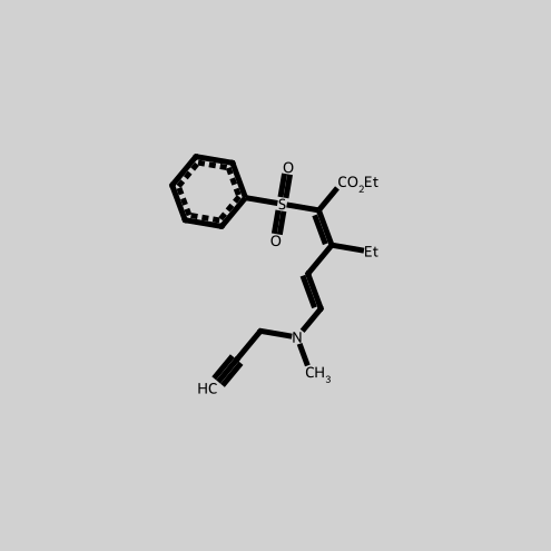 C#CCN(C)C=CC(CC)=C(C(=O)OCC)S(=O)(=O)c1ccccc1